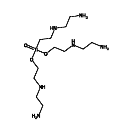 NCCNCC[O][Ti](=[O])([CH2]CNCCN)[O]CCNCCN